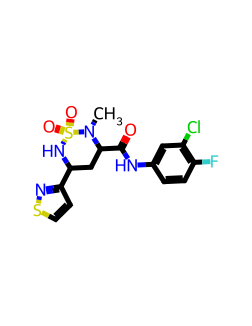 CN1C(C(=O)Nc2ccc(F)c(Cl)c2)CC(c2ccsn2)NS1(=O)=O